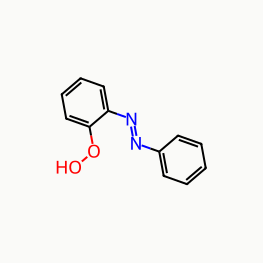 OOc1ccccc1N=Nc1ccccc1